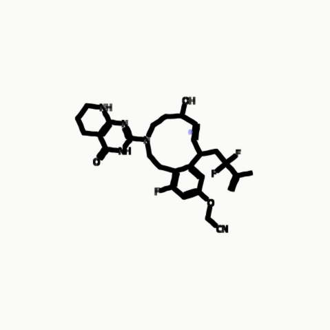 C=C(C)C(F)(F)CC1/C=C/C(O)CCN(c2nc3c(c(=O)[nH]2)CCCN3)CCc2c(F)cc(OCC#N)cc21